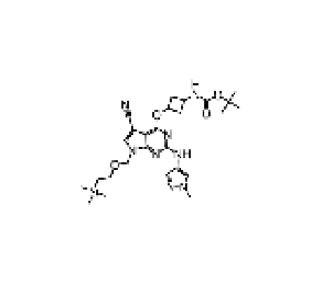 Cn1cc(Nc2nc(OC3CC(NC(=O)OC(C)(C)C)C3)c3c(C#N)cn(COCC[Si](C)(C)C)c3n2)cn1